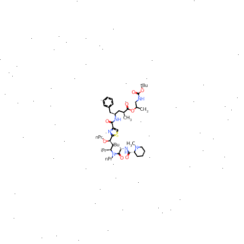 CCCO[C@H](C[C@H](C(C)C)N(CCC)C(=O)[C@@H](NC(=O)[C@H]1CCCCN1C)[C@@H](C)CC)c1nc(C(=O)N[C@@H](Cc2ccccc2)C[C@H](C)C(=O)OC(C)CNC(=O)OC(C)(C)C)cs1